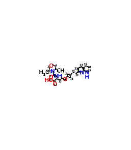 C[C@@H]1COC[C@H](C)N1C(=O)N[C@@H](CCOC1CC(CCc2ccc3c(n2)NCCC3)C1)C(=O)O